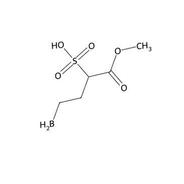 BCCC(C(=O)OC)S(=O)(=O)O